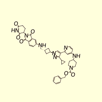 O=C1CCC(N2C(=O)c3ccc(NC[C@H]4C[C@H](n5cc(-c6cc(NC7CCN(C(=O)OCc8ccccc8)CC7)ccn6)c(C6CC6)n5)C4)cc3C2=O)C(=O)N1